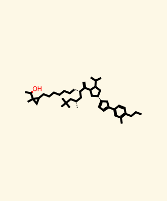 C=C(C1C[C@@H](C2=CC=C(c3ccc(CCC)c(C)c3)C2)CC1C(C)C)[C@@H](CCCCCCCC1CC1(C)C(C)O)C[C@H](C)CC(C)(C)C